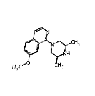 COc1ccc2ccnc(N3CC(C)NC(C)C3)c2c1